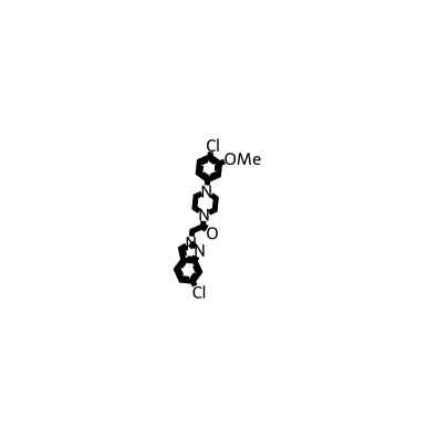 COc1cc(N2CCN(C(=O)Cn3cc4ccc(Cl)cc4n3)CC2)ccc1Cl